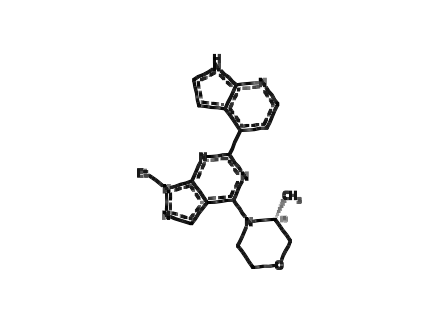 CCn1ncc2c(N3CCOC[C@H]3C)nc(-c3ccnc4[nH]ccc34)nc21